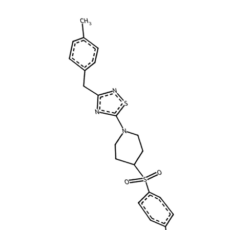 CC(=O)Nc1ccc(S(=O)(=O)C2CCN(c3nc(Cc4ccc(C)cc4)ns3)CC2)cc1